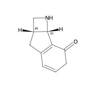 O=C1CC=CC2=C1[C@H]1NC[C@H]1C2